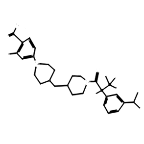 CC(C)c1cccc(C(O)(C(=O)N2CCC(CC3CCN(c4ccc(C(N)=O)c(Cl)c4)CC3)CC2)C(F)(F)F)c1